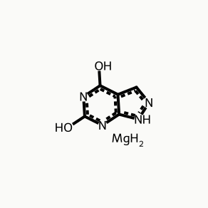 Oc1nc(O)c2cn[nH]c2n1.[MgH2]